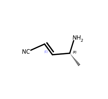 C[C@@H](N)/C=C/C#N